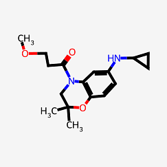 COCCC(=O)N1CC(C)(C)Oc2ccc(NC3CC3)cc21